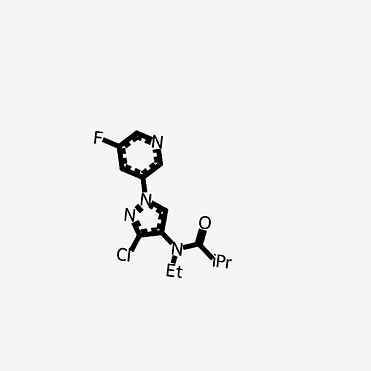 CCN(C(=O)C(C)C)c1cn(-c2cncc(F)c2)nc1Cl